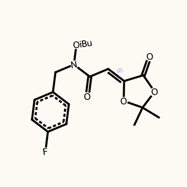 CC(C)CON(Cc1ccc(F)cc1)C(=O)/C=C1\OC(C)(C)OC1=O